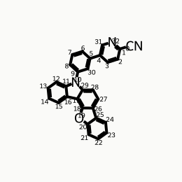 N#Cc1ccc(-c2cccc(-n3c4ccccc4c4c5oc6ccccc6c5ccc43)c2)cn1